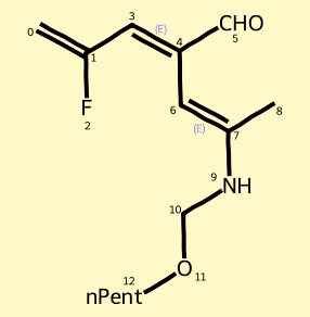 C=C(F)/C=C(C=O)\C=C(/C)NCOCCCCC